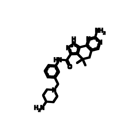 CC1(C)Cc2cnc(N)nc2-c2[nH]nc(C(=O)Nc3cccc(CN4CCC(N)CC4)c3)c21